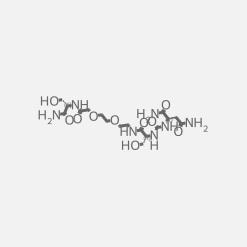 NC(=O)C[C@@H](NC(=O)N[C@H](CO)C(=O)NCCOCCOCC(=O)N[C@@H](CO)C(N)=O)C(N)=O